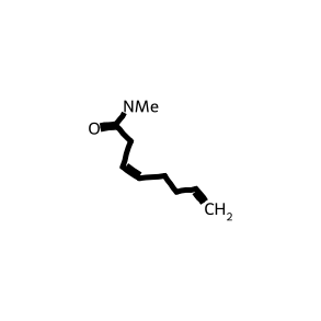 C=CCC/C=C\CC(=O)NC